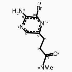 CNC(=O)CCc1cnc(N)c(Br)n1